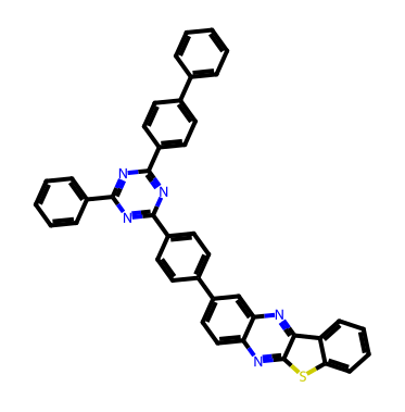 c1ccc(-c2ccc(-c3nc(-c4ccccc4)nc(-c4ccc(-c5ccc6nc7sc8ccccc8c7nc6c5)cc4)n3)cc2)cc1